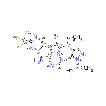 CCC(c1cnn(C(C)C)c1)c1c(Br)c(-c2cnc(C(F)(F)F)nc2)c2c(N)ncnn12